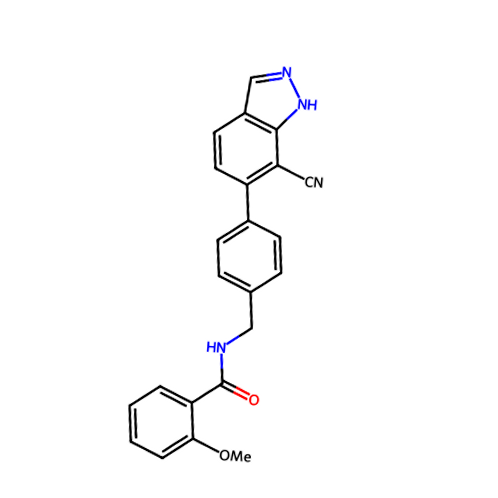 COc1ccccc1C(=O)NCc1ccc(-c2ccc3cn[nH]c3c2C#N)cc1